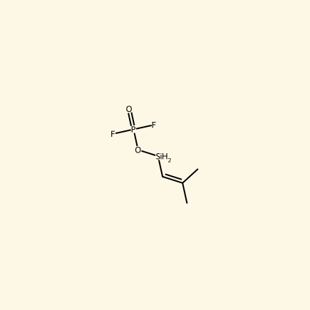 CC(C)=C[SiH2]OP(=O)(F)F